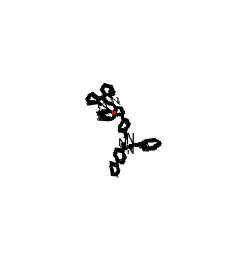 c1ccc(-c2ccc(-c3nc(-c4ccccc4)nc(-c4ccc(-c5ccc(-c6nc7ccccc7c7c8ccccc8n(-c8ccccc8)c67)cc5)cc4)n3)cc2)cc1